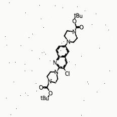 CC(C)(C)OC(=O)N1CCN(c2ccc3nc(N4CCN(C(=O)OC(C)(C)C)CC4)c(Cl)cc3c2)CC1